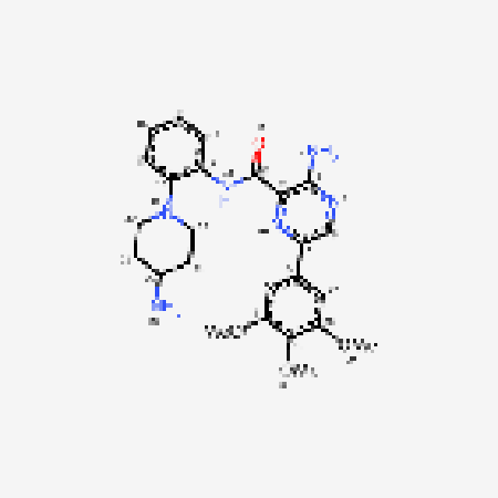 COc1cc(-c2cnc(N)c(C(=O)Nc3ccccc3N3CCC(N)CC3)n2)cc(OC)c1OC